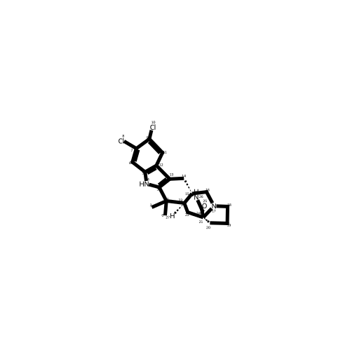 CC1(C)c2[nH]c3cc(Cl)c(Cl)cc3c2C[C@@]23CN4CCC[C@]4(C[C@@H]12)C(=O)N3